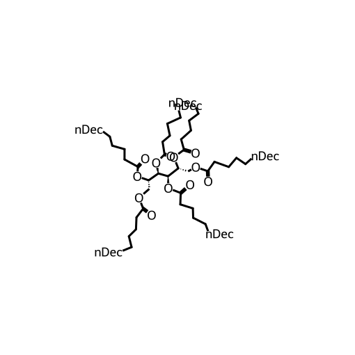 CCCCCCCCCCCCCCC(=O)OC[C@H](OC(=O)CCCCCCCCCCCCCC)[C@@H](OC(=O)CCCCCCCCCCCCCC)[C@H](OC(=O)CCCCCCCCCCCCCC)[C@@H](COC(=O)CCCCCCCCCCCCCC)OC(=O)CCCCCCCCCCCCCC